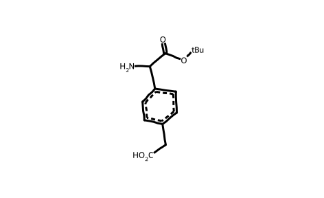 CC(C)(C)OC(=O)C(N)c1ccc(CC(=O)O)cc1